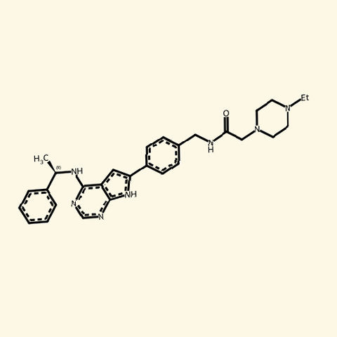 CCN1CCN(CC(=O)NCc2ccc(-c3cc4c(N[C@H](C)c5ccccc5)ncnc4[nH]3)cc2)CC1